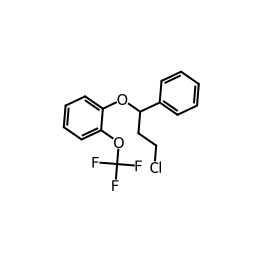 FC(F)(F)Oc1ccccc1OC(CCCl)c1ccccc1